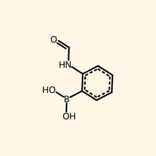 O=CNc1ccccc1B(O)O